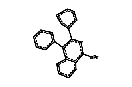 CCCc1[c]c(-c2ccccc2)c(-c2ccccc2)c2ccccc12